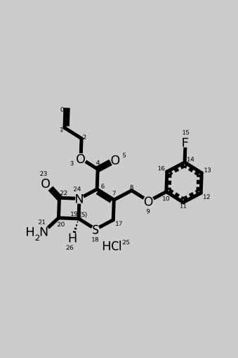 C=CCOC(=O)C1=C(COc2cccc(F)c2)CS[C@H]2C(N)C(=O)N12.Cl